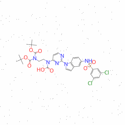 CC(C)(C)OC(=O)N(CCN(C(=O)O)c1ccnc(-n2ccc3cc(NS(=O)(=O)c4cc(Cl)cc(Cl)c4)ccc32)n1)C(=O)OC(C)(C)C